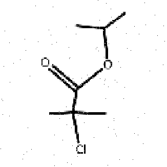 CC(C)OC(=O)C(C)(C)Cl